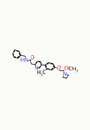 COC(COc1ccc(-c2ccc(CC(=O)NCc3ccccc3)nc2)c(C)c1)N1CCC1